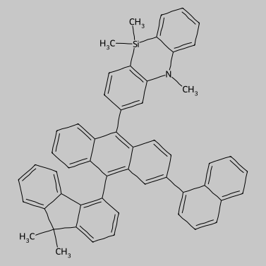 CN1c2ccccc2[Si](C)(C)c2ccc(-c3c4ccccc4c(-c4cccc5c4-c4ccccc4C5(C)C)c4cc(-c5cccc6ccccc56)ccc34)cc21